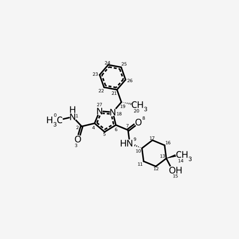 CNC(=O)c1cc(C(=O)N[C@H]2CC[C@@](C)(O)CC2)n([C@@H](C)c2ccccc2)n1